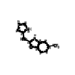 FC(F)(F)c1ccc2oc(Nc3nnc[nH]3)nc2c1